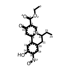 CCOC(=O)c1cn2c(cc1=O)-c1cc(O)c(N=O)cc1CC2CC